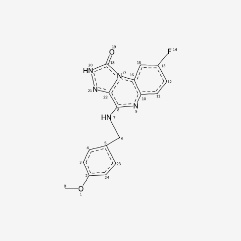 COc1ccc(CNc2nc3ccc(F)cc3n3c(=O)[nH]nc23)cc1